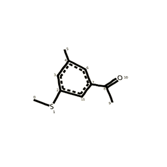 CSc1cc(C)cc(C(C)=O)c1